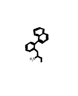 CCC(N)Cc1ccccc1-c1cccc2ccccc12